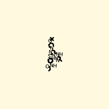 CCC(=O)Nc1ccc(Sc2nc(Nc3cc(C)n[nH]3)cc(N3CCC(OC(C)(C)C)CC3)n2)cc1